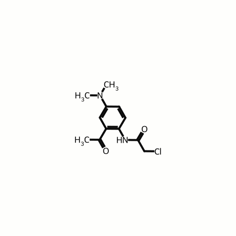 CC(=O)c1cc(N(C)C)ccc1NC(=O)CCl